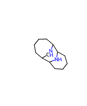 C1CCC2NCC(C1)C1CCCCC2N1